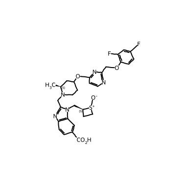 C[C@H]1CC(Oc2ccnc(COc3ccc(F)cc3F)n2)CCN1Cc1nc2ccc(C(=O)O)cc2n1C[C@@H]1CC[S+]1[O-]